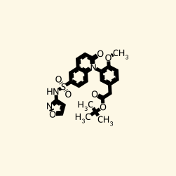 COc1ccc(CC(=O)OC(C)(C)C)cc1-n1c(=O)ccc2cc(S(=O)(=O)Nc3ccon3)ccc21